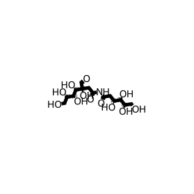 O=C[C@](O)(CC(=O)NC(=O)C[C@@H](O)[C@@H](O)[C@H](O)CO)[C@@H](O)[C@@H](O)[C@H](O)CO